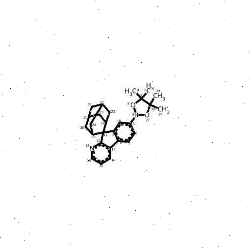 CC1(C)OB(c2ccc3c(c2)C2(c4ncccc4-3)C3CC4CC(C3)CC2C4)OC1(C)C